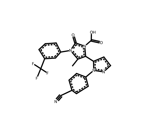 Cc1c(-c2ccnn2-c2ccc(C#N)cc2)n(C(=O)O)c(=O)n1-c1cccc(C(F)(F)F)c1